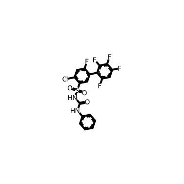 O=C(Nc1ccccc1)NS(=O)(=O)c1cc(-c2c(F)cc(F)c(F)c2F)c(F)cc1Cl